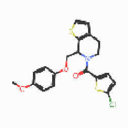 COc1ccc(OCC2c3sccc3CCN2C(=O)c2ccc(Cl)s2)cc1